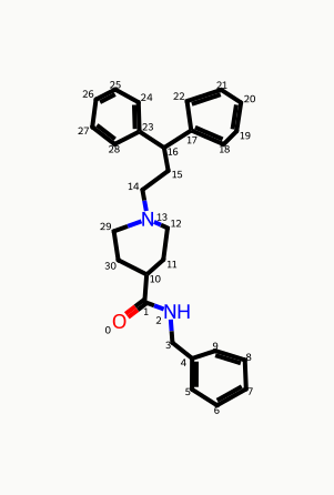 O=C(NCc1ccccc1)C1CCN(CCC(c2ccccc2)c2ccccc2)CC1